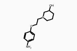 Nc1ccc(OCCN2CCCC(O)C2)cc1